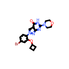 O=c1[nH]c(N2CCOCC2)nc2nn(-c3ccc(Br)cc3OC3CCC3)cc12